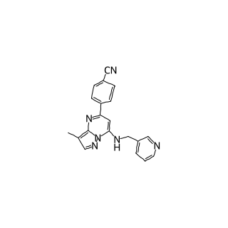 Cc1cnn2c(NCc3cccnc3)cc(-c3ccc(C#N)cc3)nc12